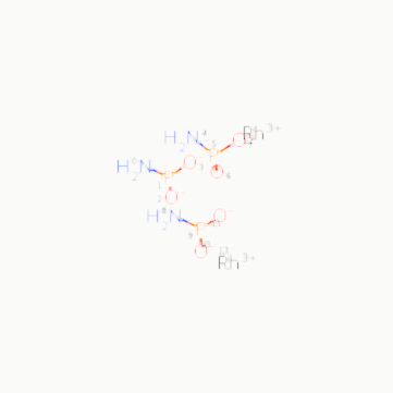 NP([O-])[O-].NP([O-])[O-].NP([O-])[O-].[Rh+3].[Rh+3]